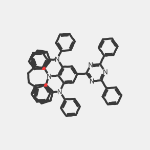 c1ccc(-c2nc(-c3ccccc3)nc(-c3cc(N(c4ccccc4)c4ccccc4)c(N4c5ccccc5CCc5ccccc54)c(N(c4ccccc4)c4ccccc4)c3)n2)cc1